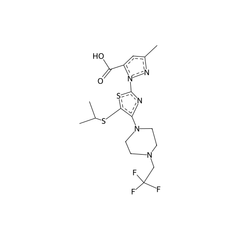 Cc1cc(C(=O)O)n(-c2nc(N3CCN(CC(F)(F)F)CC3)c(SC(C)C)s2)n1